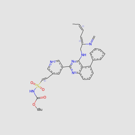 C=N/C(=C\C=C/C)CNc1nc(-c2cncc(/C=C/S(=O)(=O)NC(=O)OC(C)(C)C)c2)nc2cccc(-c3ccccc3)c12